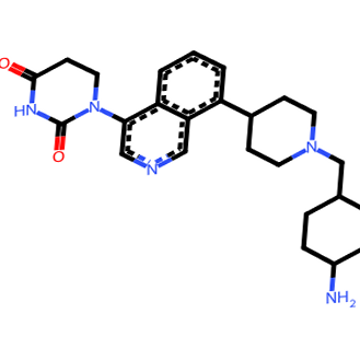 NC1CCC(CN2CCC(c3cccc4c(N5CCC(=O)NC5=O)cncc34)CC2)CC1